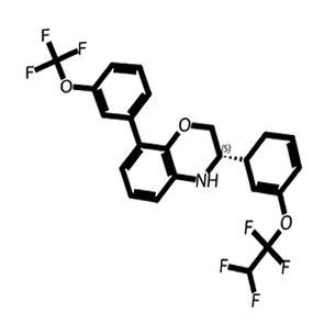 FC(F)C(F)(F)OC1=CC([C@H]2COc3c(cccc3-c3cccc(OC(F)(F)F)c3)N2)CC=C1